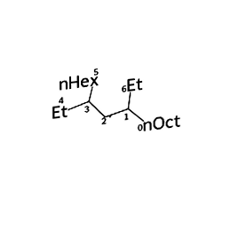 CCCCCCCCC([CH]C(CC)CCCCCC)CC